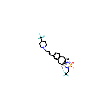 O=S1(=O)N[C@@]2(CN1CC(F)(F)F)[C@@H]1CC[C@H]2Cc2ccc(/C=C/CN3CCC(C(F)(F)F)CC3)cc2C1